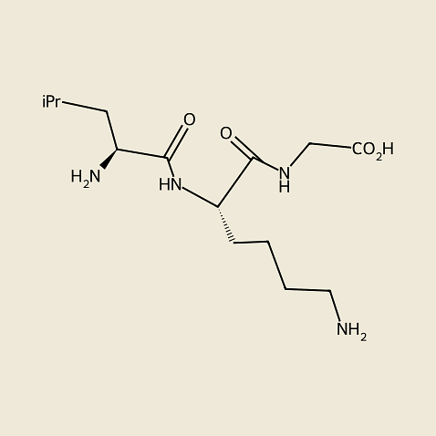 CC(C)C[C@H](N)C(=O)N[C@@H](CCCCN)C(=O)NCC(=O)O